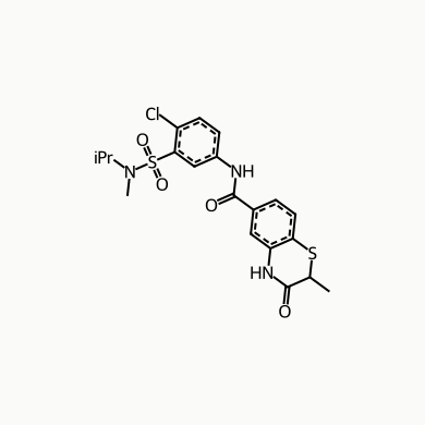 CC1Sc2ccc(C(=O)Nc3ccc(Cl)c(S(=O)(=O)N(C)C(C)C)c3)cc2NC1=O